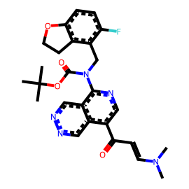 CN(C)/C=C/C(=O)c1cnc(N(Cc2c(F)ccc3c2CCO3)C(=O)OC(C)(C)C)c2cnncc12